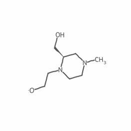 CN1CCN(CC[O])[C@@H](CO)C1